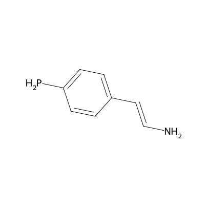 N/C=C/c1ccc(P)cc1